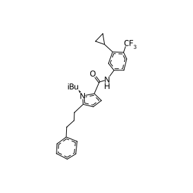 CC[C@H](C)n1c(CCCc2ccccc2)ccc1C(=O)Nc1ccc(C(F)(F)F)c(C2CC2)c1